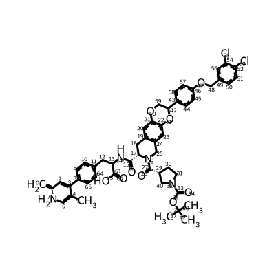 C=C/C=C(\C(C)=C/N)c1ccc(CC(NC(=O)[C@@H]2Cc3cc4c(cc3CN2C(=O)[C@@H]2CCN(C(=O)OC(C)(C)C)C2)OC(c2ccc(OCc3ccc(Cl)c(Cl)c3)cc2)CO4)C(=O)O)cc1